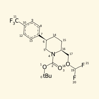 CC(C)(C)OC(=O)N1C[C@@H](c2ccc(C(F)(F)F)cc2)CC[C@H]1COC(F)F